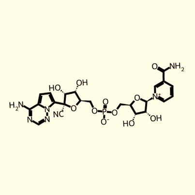 N#C[C@@]1(c2ccc3c(N)ncnn23)O[C@H](COP(=O)([O-])OC[C@H]2O[C@@H]([n+]3cccc(C(N)=O)c3)[C@H](O)[C@@H]2O)[C@@H](O)[C@H]1O